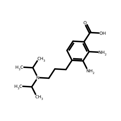 CC(C)N(CCCc1ccc(C(=O)O)c(N)c1N)C(C)C